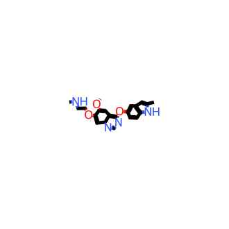 CNCCOc1cc2ncnc(Oc3ccc4[nH]c(C)cc4c3)c2cc1OC